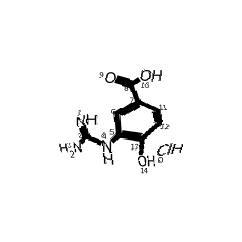 Cl.N=C(N)Nc1cc(C(=O)O)ccc1O